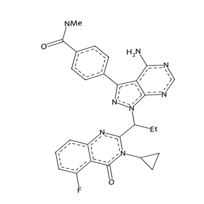 CCC(c1nc2cccc(F)c2c(=O)n1C1CC1)n1nc(-c2ccc(C(=O)NC)cc2)c2c(N)ncnc21